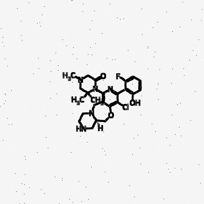 CN1CC(=O)N(c2nc(-c3c(O)cccc3F)c(Cl)c3c2CN2CCNC[C@@H]2CO3)C(C)(C)C1